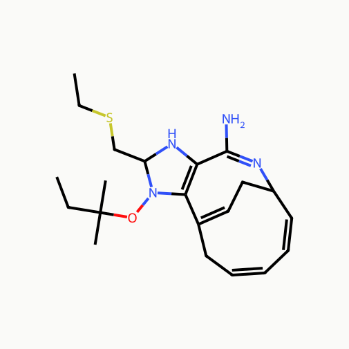 CCSCC1NC2=C(C3=C\CC(/C=C\C=C/C\3)/N=C\2N)N1OC(C)(C)CC